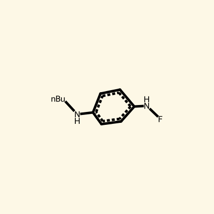 CCCCNc1ccc(NF)cc1